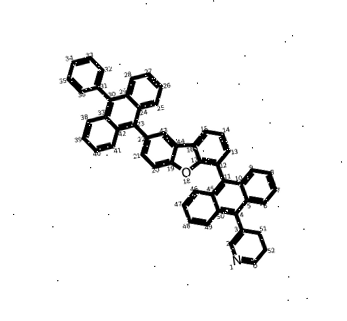 C1=NC=C(c2c3ccccc3c(-c3cccc4c3oc3ccc(-c5c6ccccc6c(-c6ccccc6)c6ccccc56)cc34)c3ccccc23)CC1